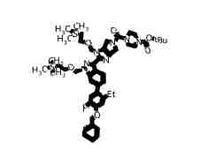 CCc1cc(OCc2ccccc2)c(F)cc1-c1ccc2c(-c3nc4c(n3COCC[Si](C)(C)C)CN(C(=O)N3CCN(C(=O)OC(C)(C)C)CC3)C4)nn(COCC[Si](C)(C)C)c2c1